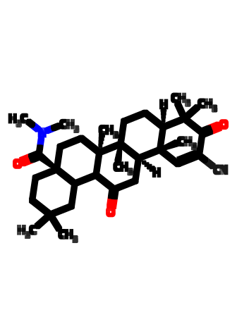 CN(C)C(=O)[C@]12CCC(C)(C)CC1C1C(=O)C[C@@H]3[C@@]4(C)C=C(C#N)C(=O)C(C)(C)[C@@H]4CC[C@@]3(C)[C@]1(C)CC2